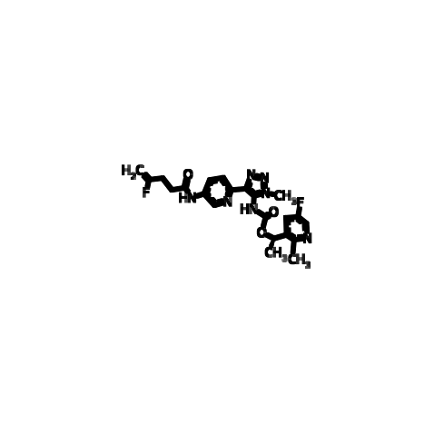 C=C(F)CCC(=O)Nc1ccc(-c2nnn(C)c2NC(=O)O[C@H](C)c2cc(F)cnc2C)nc1